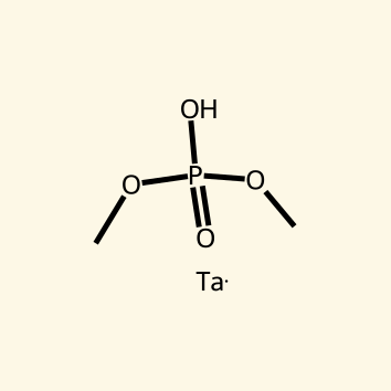 COP(=O)(O)OC.[Ta]